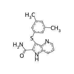 Cc1cc(C)cc(Sc2c(C(N)=O)[nH]c3cccnc23)c1